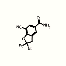 CCC1(CC)Cc2cc(C(N)=O)cc(C#N)c2O1